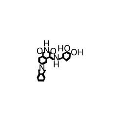 O=C1NC(=O)c2ccc(N3Cc4ccccc4C3)cc2C1=CNCc1ccc(O)c(O)c1